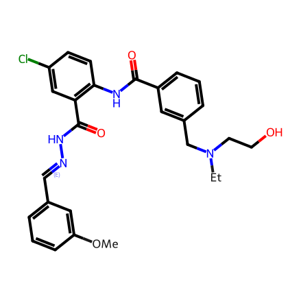 CCN(CCO)Cc1cccc(C(=O)Nc2ccc(Cl)cc2C(=O)N/N=C/c2cccc(OC)c2)c1